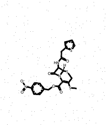 CSC1=C(C(=O)OCc2ccc([N+](=O)[O-])cc2)N2C(=O)C(NC(=O)Cc3cccs3)[C@@H]2SC1